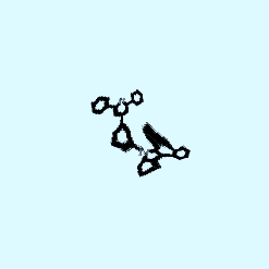 c1ccc(-c2cc(-c3cccc(-n4c5ccccc5c5c6ccccc6ccc54)c3)cc(-c3ccccc3)n2)cc1